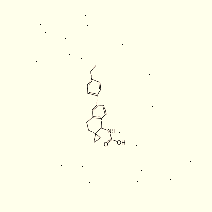 CCc1ccc(-c2ccc3c(c2)CCC2(CC2)C3NC(=O)O)cc1